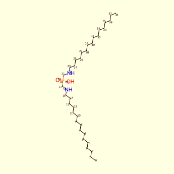 CCCCCCCCCCCCCCCCNCP(=O)(O)CNCCCCCCCCCCCCCCCC